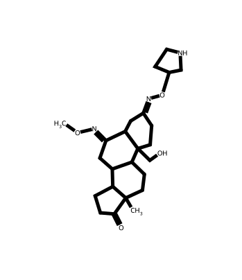 CON=C1CC2C3CCC(=O)C3(C)CCC2C2(CO)CCC(=NOC3CCNC3)CC12